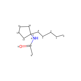 CCCCCC1(NC(C)=O)CCCC1